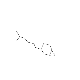 CC(C)CCCCC1CCC2OC2C1